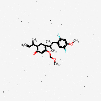 C=CC(C)C1C[C@@](C)(C(C)Cc2cc(F)c(OC)cc2F)C(OCOC)=CC1=O